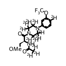 [2H]c1ccc(N2C([2H])([2H])C([2H])([2H])N(C(=O)[C@H](COC)NC(=O)C([2H])([2H])[2H])C([2H])([2H])C2([2H])[2H])cc1OC(F)(F)F